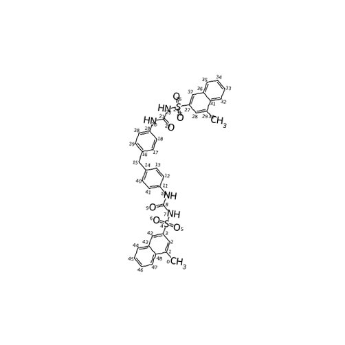 Cc1cc(S(=O)(=O)NC(=O)Nc2ccc(Cc3ccc(NC(=O)NS(=O)(=O)c4cc(C)c5ccccc5c4)cc3)cc2)cc2ccccc12